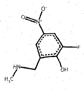 CNCc1cc([N+](=O)[O-])cc(F)c1O